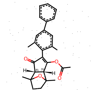 CC(=O)OC1=C(c2c(C)cc(-c3ccccc3)cc2C)C(=O)[C@@H]2[C@H]1C1(C)CCC2(C)O1